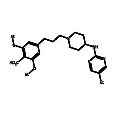 CCOc1cc(CCCN2CCC(Nc3ncc(CC)cn3)CC2)cc(OCC)c1C(=O)O